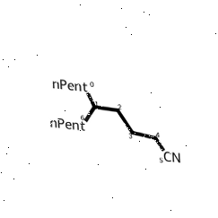 CCCCCC(CCCC#N)CCCCC